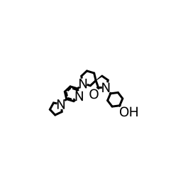 O=C1N(C2CCC(O)CC2)CC[C@@]12CCCN(c1ccc(N3CCCC3)cn1)C2